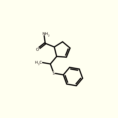 CC(Sc1ccccc1)C1C=CCC1C(N)=O